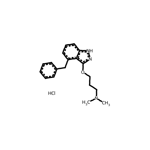 CN(C)CCCOc1n[nH]c2cccc(Cc3ccccc3)c12.Cl